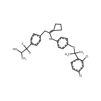 CC(O)C(F)(F)c1ccc(CC(Nc2ccc(OC(C)(C)c3ccc(Cl)cc3Cl)cc2)=C2CCC2)cc1